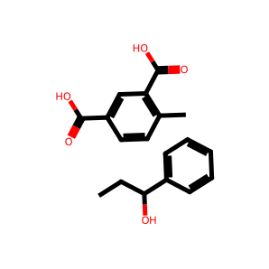 CCC(O)c1ccccc1.Cc1ccc(C(=O)O)cc1C(=O)O